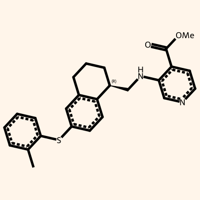 COC(=O)c1ccncc1NC[C@@H]1CCCc2cc(Sc3ccccc3C)ccc21